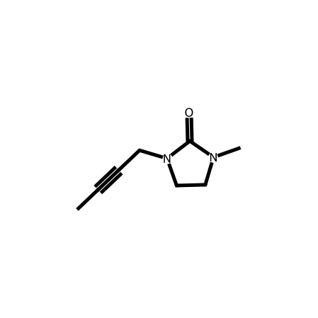 CC#CCN1CCN(C)C1=O